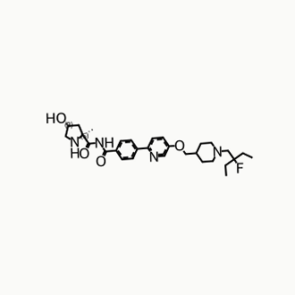 CCC(F)(CC)CN1CCC(COc2ccc(-c3ccc(C(=O)NC(=O)[C@]4(C)C[C@@H](O)CN4)cc3)nc2)CC1